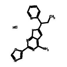 CCC(c1ccccn1)c1cc2c(N)nc(-c3cnco3)nc2s1.Cl